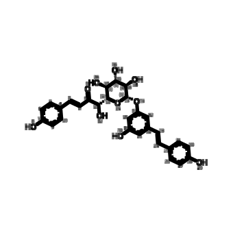 O=C(C=Cc1ccc(O)cc1)C(O)[C@H]1O[C@@H](Oc2cc(O)cc(C=Cc3ccc(O)cc3)c2)[C@H](O)[C@@H](O)[C@@H]1O